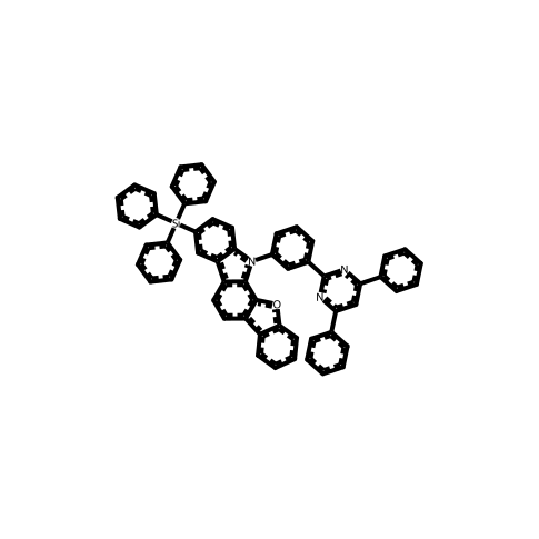 c1ccc(-c2cc(-c3ccccc3)nc(-c3cccc(-n4c5ccc([Si](c6ccccc6)(c6ccccc6)c6ccccc6)cc5c5ccc6c7ccccc7oc6c54)c3)n2)cc1